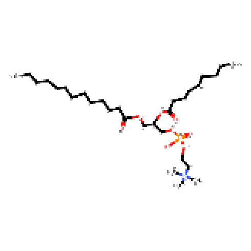 CCCCCCCCCCCCCCCCCCCCCC(=O)OC[C@H](COP(=O)(O)OCC[N+](C)(C)C)OC(=O)CCCCCCCCCCCCCCCCC